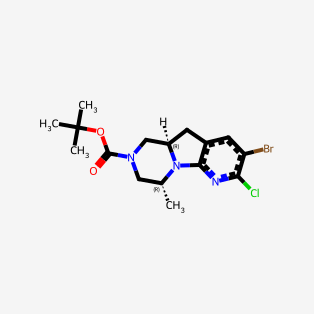 C[C@@H]1CN(C(=O)OC(C)(C)C)C[C@H]2Cc3cc(Br)c(Cl)nc3N21